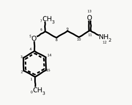 Cc1ccc(OC(C)CCCC(N)=O)cc1